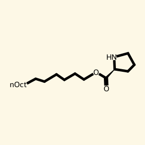 CCCCCCCCCCCCCCOC(=O)[C@@H]1CCCN1